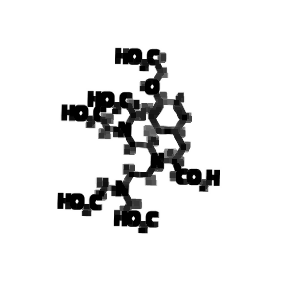 O=C(O)COc1ccc(C[C@@H](C(=O)O)N(CCN(CC(=O)O)CC(=O)O)CCN(CC(=O)O)CC(=O)O)cc1